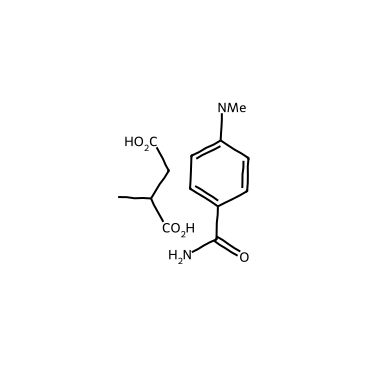 CC(CC(=O)O)C(=O)O.CNc1ccc(C(N)=O)cc1